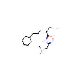 CN(C)Cc1noc([C@H](CCCC2CCCCC2)CC(=O)O)n1